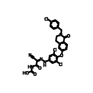 N#CC(=NNc1cc(Cl)c(Oc2ccc3c(c2)CCN(Cc2ccc(Cl)cc2)C3=O)c(Cl)c1)C(=O)NC(=O)O